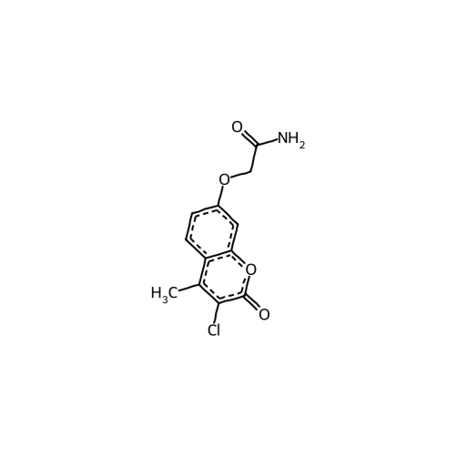 Cc1c(Cl)c(=O)oc2cc(OCC(N)=O)ccc12